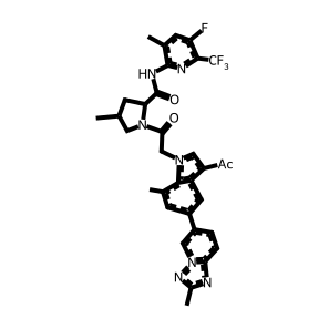 CC(=O)c1cn(CC(=O)N2CC(C)CC2C(=O)Nc2nc(C(F)(F)F)c(F)cc2C)c2c(C)cc(-c3ccc4nc(C)nn4c3)cc12